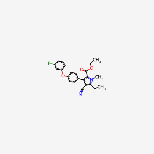 CCOC(=O)c1c(-c2ccc(Oc3cccc(F)c3)cc2)c(C#N)c(CC)n1C